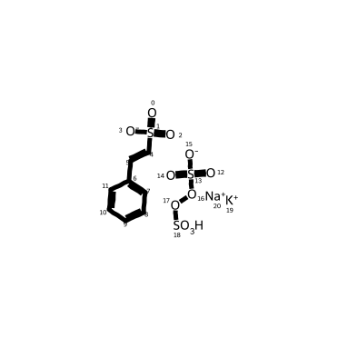 O=S(=O)([O-])C=Cc1ccccc1.O=S(=O)([O-])OOS(=O)(=O)O.[K+].[Na+]